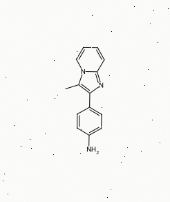 Cc1c(-c2ccc(N)cc2)nc2ccccn12